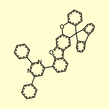 c1ccc(-c2cc(-c3cccc4c3oc3cc5c(cc34)C3(c4ccccc4O5)c4ccccc4-c4ccccc43)nc(-c3ccccc3)n2)cc1